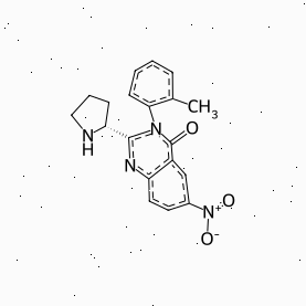 Cc1ccccc1-n1c([C@H]2CCCN2)nc2ccc([N+](=O)[O-])cc2c1=O